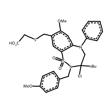 CCCCC1(CC)CN(c2ccccc2)c2cc(OC)c(CSCC(=O)O)cc2S(=O)(=O)N1Cc1ccc(OC)cc1